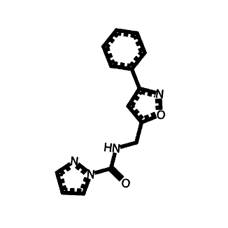 O=C(NCc1cc(-c2ccccc2)no1)n1cccn1